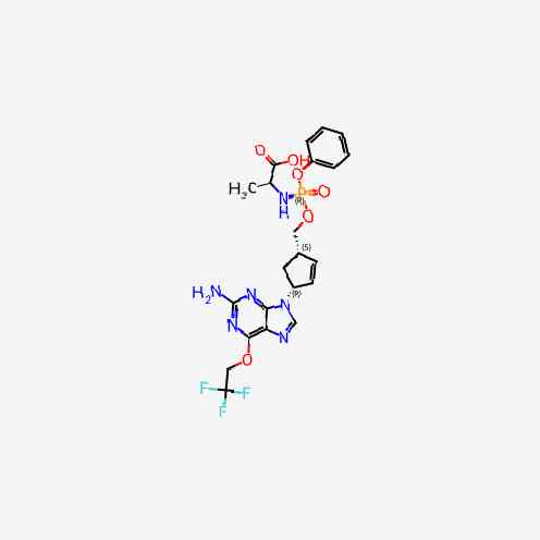 CC(N[P@@](=O)(OC[C@@H]1C=C[C@H](n2cnc3c(OCC(F)(F)F)nc(N)nc32)C1)Oc1ccccc1)C(=O)O